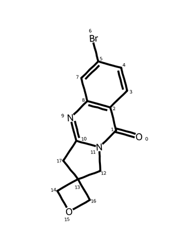 O=c1c2ccc(Br)cc2nc2n1CC1(COC1)C2